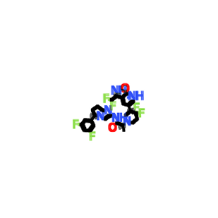 C[C@@H](C(=O)Nc1cn2c(n1)CC[C@@H]2c1cc(F)cc(F)c1)N1CCC(F)(F)[C@H](c2c[nH]c(=O)c([C@H](N)C(F)F)c2)C1